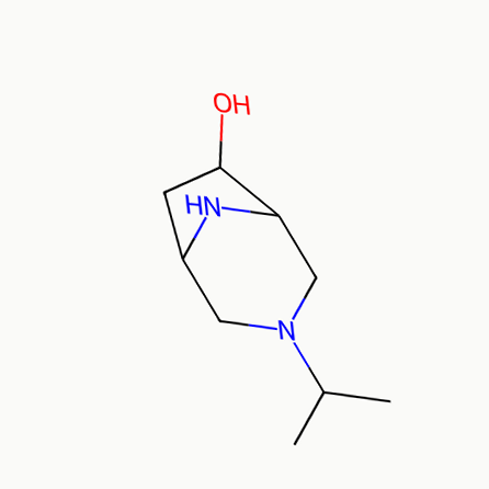 CC(C)N1CC2CC(O)C(C1)N2